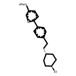 CCCCCc1ccc(-c2ccc(CC[C@H]3CC[C@H](CC)CC3)cc2)nc1